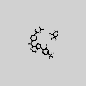 CC(C)OC(=O)N1CCC(N(C)c2ncnc3c2CCN3c2ccc(S(C)(=O)=O)cc2F)CC1.O=C(O)C(F)(F)F